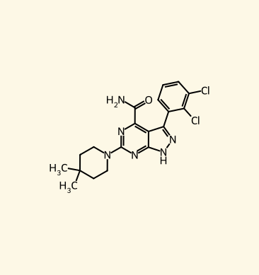 CC1(C)CCN(c2nc(C(N)=O)c3c(-c4cccc(Cl)c4Cl)n[nH]c3n2)CC1